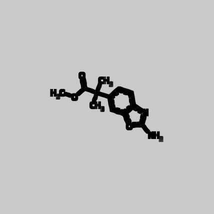 COC(=O)C(C)(C)c1ccc2nc(N)oc2c1